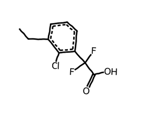 CCc1cccc(C(F)(F)C(=O)O)c1Cl